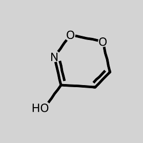 OC1=NOOC=C1